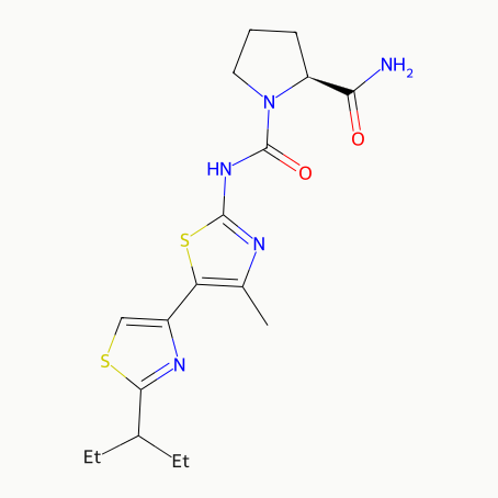 CCC(CC)c1nc(-c2sc(NC(=O)N3CCC[C@H]3C(N)=O)nc2C)cs1